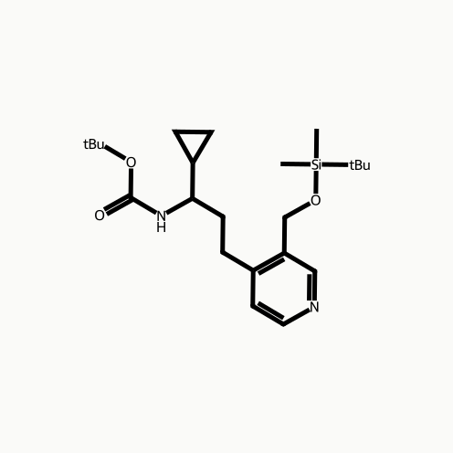 CC(C)(C)OC(=O)NC(CCc1ccncc1CO[Si](C)(C)C(C)(C)C)C1CC1